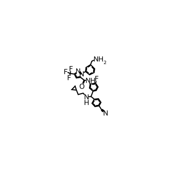 N#Cc1ccc(C(NCCC2CC2)c2ccc(F)c(NC(=O)c3cc(C(F)(F)F)nn3-c3cccc(CN)c3)c2)cc1